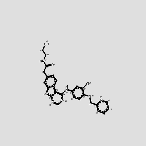 O=C(Cc1ccc2c(c1)sc1ncnc(Nc3ccc(OCc4ccccn4)c(Cl)c3)c12)NCCO